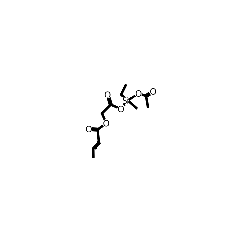 CC=CC(=O)OCC(=O)O[Si](C)(CC)OC(C)=O